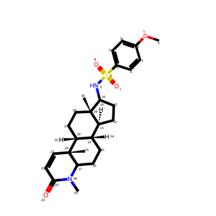 COc1ccc(S(=O)(=O)NC2CC[C@H]3[C@@H]4CCC5N(C)C(=O)C=C[C@]5(C)[C@@H]4CC[C@]23C)cc1